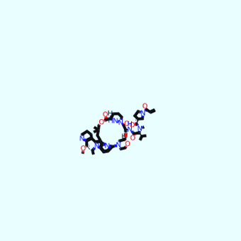 C=CC(=O)N1CC[C@H](C(=O)N(C)[C@H](C(=O)N[C@H]2C[C@@H]3CN(CCO3)c3ccc4c(n3)c(c(C3=C([C@H](C)OC)N=CCC3)n4CC)CC(C)(C)COC(=O)[C@@H]3CCCN(N3)C2=O)C(C)C)C1